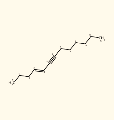 CCCC=CC#CCCCCCC